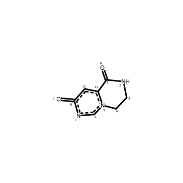 O=C1NCCn2cnc(=O)cc21